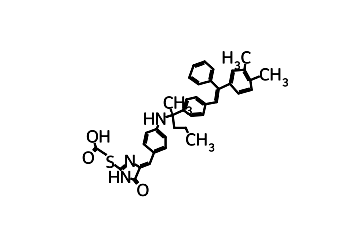 CCC[C@](C)(Nc1ccc(/C=C2\N=C(SCC(=O)O)NC2=O)cc1)c1ccc(/C=C(\c2ccccc2)c2ccc(C)c(C)c2)cc1